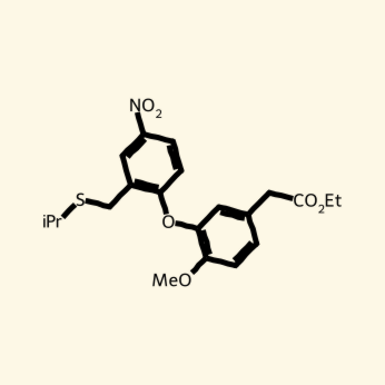 CCOC(=O)Cc1ccc(OC)c(Oc2ccc([N+](=O)[O-])cc2CSC(C)C)c1